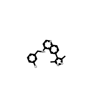 Cc1noc(C)c1-c1ccc2nccc(NCc3cccc(Cl)c3)c2c1